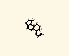 O=C1CCC2=CC=C3C4=CC=CCC4CCC3C12